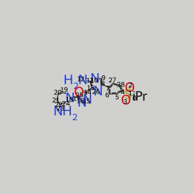 CC(C)S(=O)(=O)c1ccc(-c2cnc(N)c(-c3nnc(N4CCCC(N)C4)o3)n2)cc1